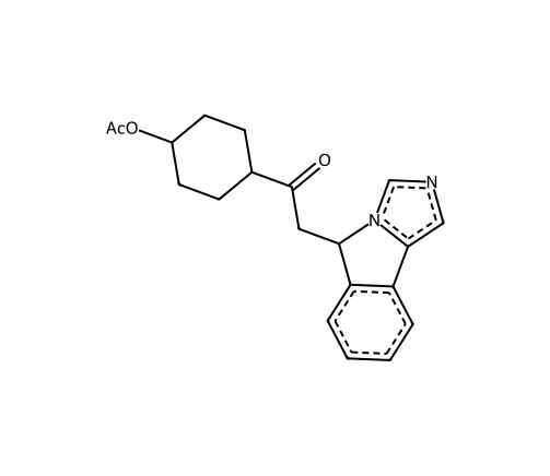 CC(=O)OC1CCC(C(=O)CC2c3ccccc3-c3cncn32)CC1